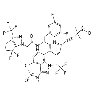 CN(c1nn(CC(F)(F)F)c2c(-c3ccc(C#CC(C)(C)[S+](C)[O-])nc3C(Cc3cc(F)cc(F)c3)NC(=O)Cn3nc(C(F)(F)F)c4c3C(F)(F)CC4)ccc(Cl)c12)[S+](C)[O-]